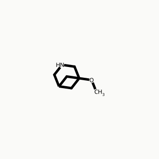 COC12CNCC(C1)C2